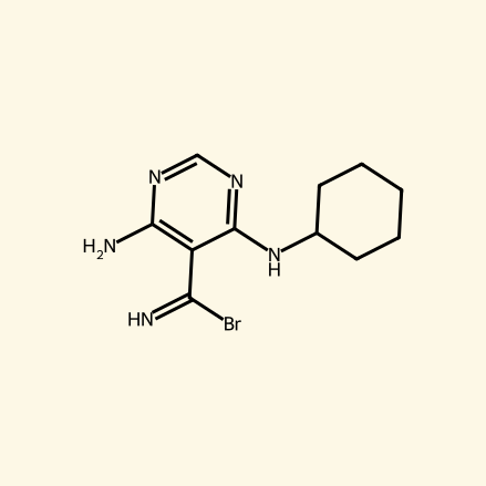 N=C(Br)c1c(N)ncnc1NC1CCCCC1